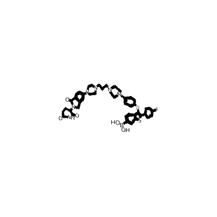 O=C1CCC(N2Cc3cc(N4CCN(CCCN5CCN(c6ccc(Oc7c(-c8ccc(F)cc8)sc8cc(B(O)O)ccc78)cc6)CC5)CC4)ccc3C2=O)C(=O)N1